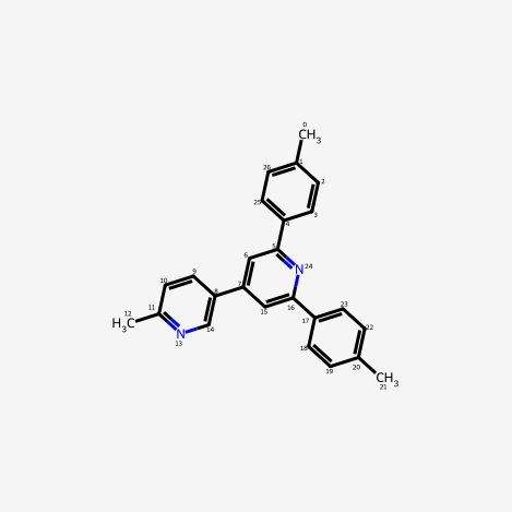 Cc1ccc(-c2cc(-c3ccc(C)nc3)cc(-c3ccc(C)cc3)n2)cc1